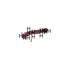 Cc1c(NC(=O)/C=C\C(=O)NCCOCCOCCNC(=O)CCOCCOCCOCCOCCNC(=O)CCCC[C@H]2SC[C@H]3NC(=O)N[C@H]32)cccc1-c1ccc(C(N)=O)c2[nH]ccc12